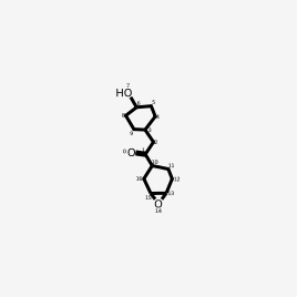 O=C(CC1CCC(O)CC1)C1CCC2OC2C1